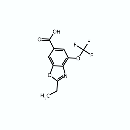 CCc1nc2c(OC(F)(F)F)cc(C(=O)O)cc2o1